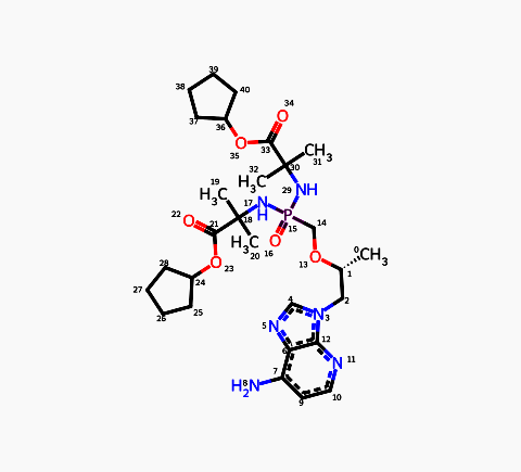 C[C@H](Cn1cnc2c(N)ccnc21)OCP(=O)(NC(C)(C)C(=O)OC1CCCC1)NC(C)(C)C(=O)OC1CCCC1